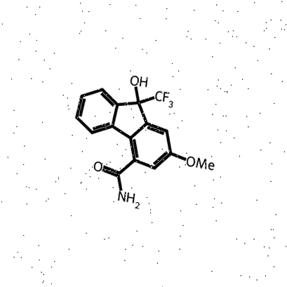 COc1cc(C(N)=O)c2c(c1)C(O)(C(F)(F)F)c1ccccc1-2